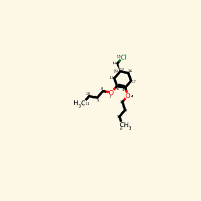 CCCCOC1=C(OCCCC)C[C@@H](CCl)CC1